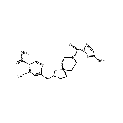 CC(=O)Nc1ccn(C(=O)N2CCC3(CCN(Cc4ccc(C(N)=O)c(C(F)(F)F)c4)C3)CC2)n1